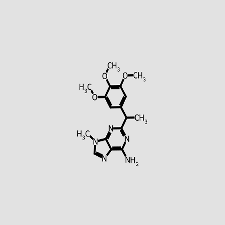 COc1cc(C(C)c2nc(N)c3ncn(C)c3n2)cc(OC)c1OC